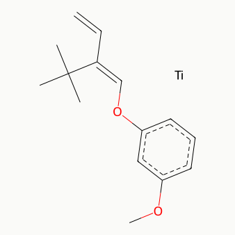 C=CC(=COc1cccc(OC)c1)C(C)(C)C.[Ti]